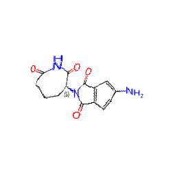 Nc1ccc2c(c1)C(=O)N([C@H]1CCCC(=O)NC1=O)C2=O